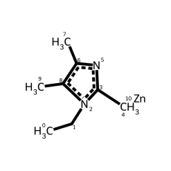 CCn1c(C)nc(C)c1C.[Zn]